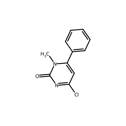 Cn1c(-c2ccccc2)cc(Cl)nc1=O